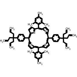 C=CCC(CC=C)(CC=C)c1ccc(C2=C3C=CC(=N3)C(c3c(C)cc(C)cc3C)=C3C=CC(=N3)C(c3ccc(C(CC=C)(CC=C)CC=C)cc3)=C3C=CC(=N3)C(c3c(C)cc(C)cc3C)=C3C=CC2=N3)cc1